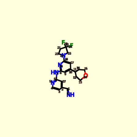 N=Cc1ccnc(Nc2cc(C3CCOCC3)cc(N3CCC(F)(F)C3)n2)c1